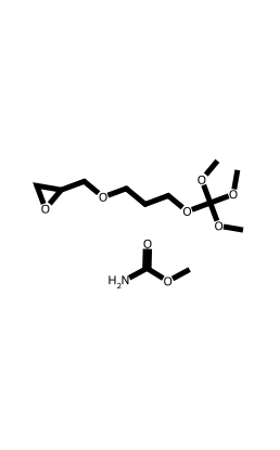 COC(N)=O.COC(OC)(OC)OCCCOCC1CO1